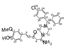 COc1cc(C=CC(=O)CC(N)N2CCN(C(c3ccccc3)c3ccc(Cl)cc3)CC2)ccc1O